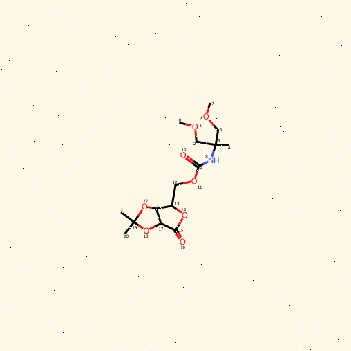 COCC(C)(COC)NC(=O)OCC1OC(=O)C2OC(C)(C)OC12